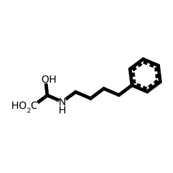 O=C(O)C(O)NCCCCc1ccccc1